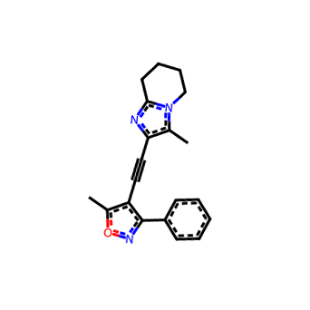 Cc1onc(-c2ccccc2)c1C#Cc1nc2n(c1C)CCCC2